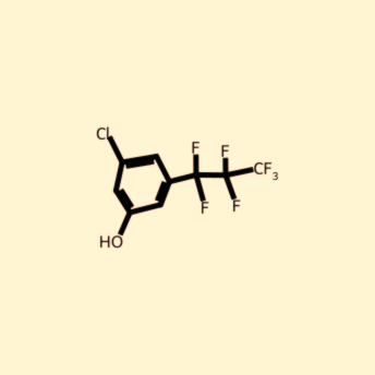 Oc1cc(Cl)cc(C(F)(F)C(F)(F)C(F)(F)F)c1